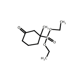 CCOP(=O)(OCC)C1(C)CCCC(=O)C1